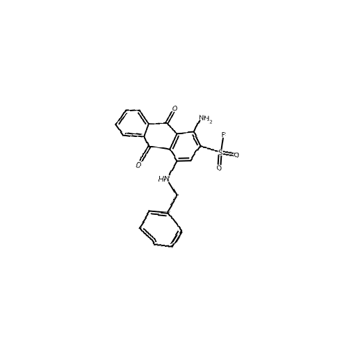 Nc1c(S(=O)(=O)F)cc(NCc2ccccc2)c2c1C(=O)c1ccccc1C2=O